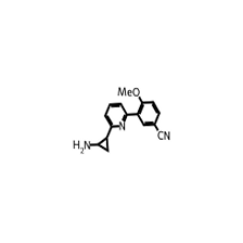 COc1ccc(C#N)cc1-c1cccc(C2CC2N)n1